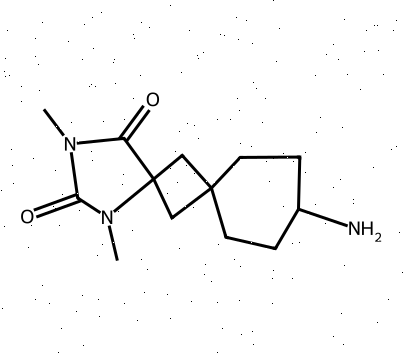 CN1C(=O)N(C)C2(CC3(CCC(N)CC3)C2)C1=O